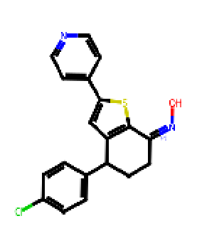 O/N=C1/CCC(c2ccc(Cl)cc2)c2cc(-c3ccncc3)sc21